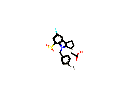 Cc1ccc(Cn2c3c(c4cc(F)cc([SH](=O)=O)c42)CC[C@@H]3CC(=O)O)cc1